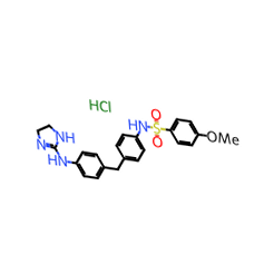 COc1ccc(S(=O)(=O)Nc2ccc(Cc3ccc(NC4=NCCN4)cc3)cc2)cc1.Cl